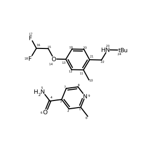 Cc1cc(C(N)=O)ccn1.Cc1cc(OCC(F)F)ccc1CNC(C)(C)C